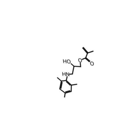 C=C(C)C(=O)OCC(O)CNc1c(C)cc(C)cc1C